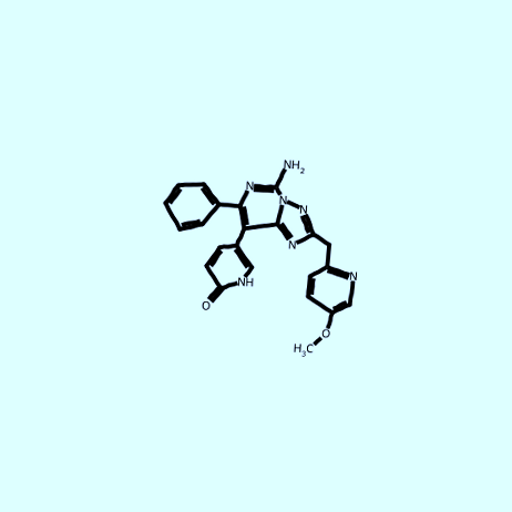 COc1ccc(Cc2nc3c(-c4ccc(=O)[nH]c4)c(-c4ccccc4)nc(N)n3n2)nc1